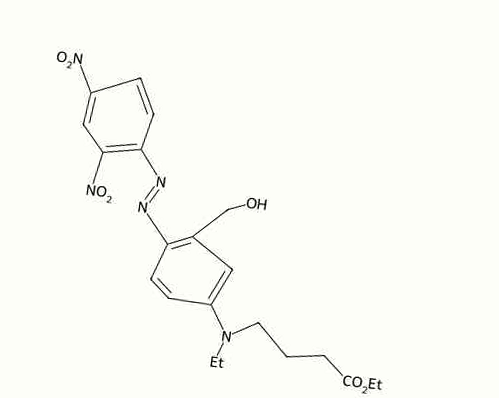 CCOC(=O)CCCN(CC)c1ccc(N=Nc2ccc([N+](=O)[O-])cc2[N+](=O)[O-])c(CO)c1